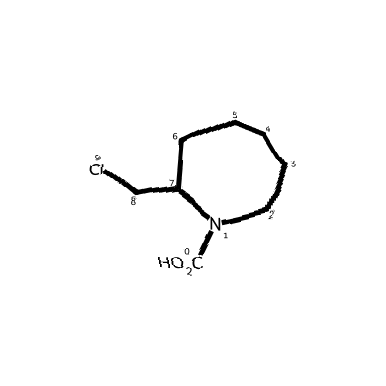 O=C(O)N1CCCCCC1CCl